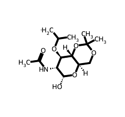 [CH2]C(C)O[C@@H]1[C@@H](NC(C)=O)[C@@H](O)O[C@@H]2COC(C)(C)O[C@@H]12